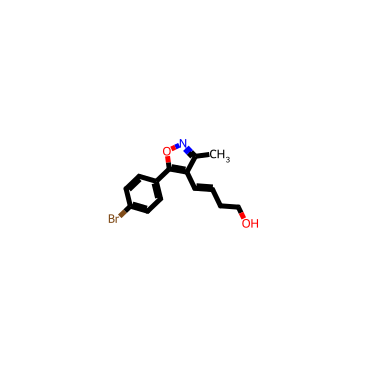 Cc1noc(-c2ccc(Br)cc2)c1C=CCCO